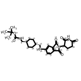 CC(C)(C)OC(=O)NC[C@H]1CC[C@H](CNc2ccc3c(c2)C(=O)N(C2CCC(=O)NC2=O)C3=O)CC1